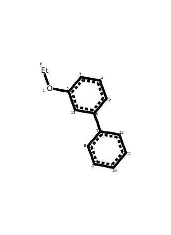 CCOc1cccc(-c2c[c]ccc2)c1